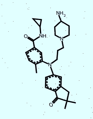 Cc1ccc(C(=O)NC2CC2)cc1N(CCCN1CCC(N)CC1)c1ccc2c(c1)CC(C)(C)C2=O